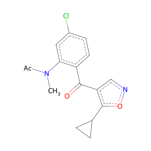 CC(=O)N(C)c1cc(Cl)ccc1C(=O)c1cnoc1C1CC1